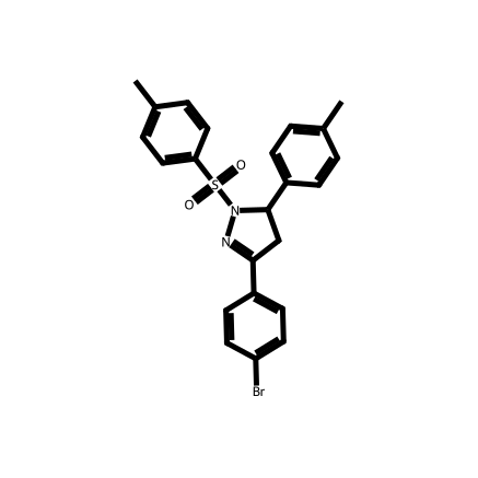 Cc1ccc(C2CC(c3ccc(Br)cc3)=NN2S(=O)(=O)c2ccc(C)cc2)cc1